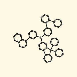 c1ccc(-c2ccccc2-c2cccc(N(c3cccc(-c4cccc5ccccc45)c3)c3ccc4c(c3)C(c3ccccc3)(c3ccccc3)c3ccccc3-4)c2)cc1